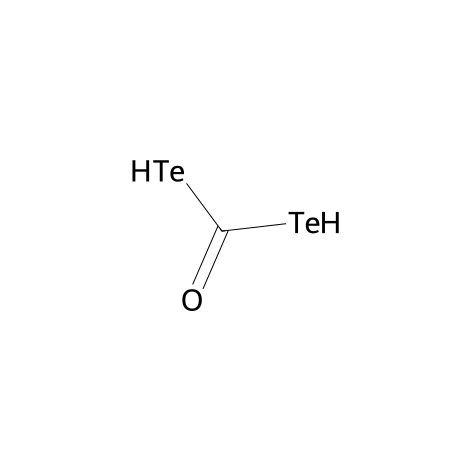 O=C([TeH])[TeH]